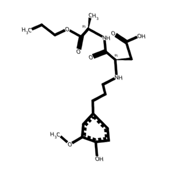 CCCOC(=O)[C@@H](C)NC(=O)[C@@H](CC(=O)O)NCCCc1ccc(O)c(OC)c1